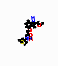 CCC(C)(NCC(O)COc1cccc2[nH]c(COC)cc12)SC